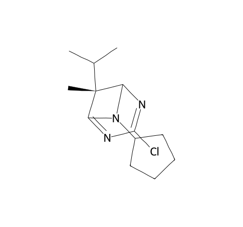 CC(C)[C@@]1(C)C2=NC(Cl)=NC1N2C1CCCC1